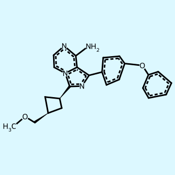 COC[C@H]1C[C@@H](c2nc(-c3ccc(Oc4ccccc4)cc3)c3c(N)nccn32)C1